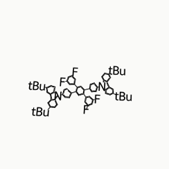 CC(C)(C)c1ccc2c(c1)c1cc(C(C)(C)C)ccc1n2-c1ccc(-c2cc(-c3cc(F)cc(F)c3)c(-c3ccc(-n4c5ccc(C(C)(C)C)cc5c5cc(C(C)(C)C)ccc54)cc3)cc2-c2cc(F)cc(F)c2)cc1